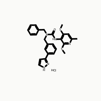 CSc1cc(C)nc(SC)c1NC(=O)N(Cc1ccccc1)Cc1cccc(-c2cc[nH]n2)c1.Cl